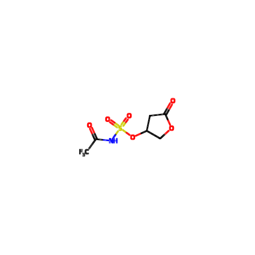 O=C1CC(OS(=O)(=O)NC(=O)C(F)(F)F)CO1